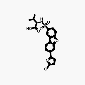 CC(C)[C@@H](NS(=O)(=O)c1ccc2oc3cc(-c4ccc(Cl)o4)ccc3c2c1)C(=O)O